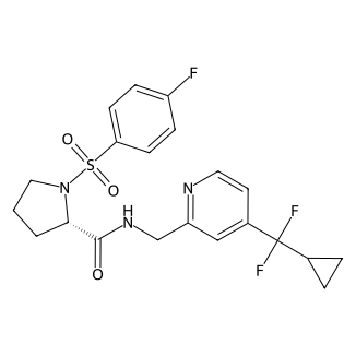 O=C(NCc1cc(C(F)(F)C2CC2)ccn1)[C@@H]1CCCN1S(=O)(=O)c1ccc(F)cc1